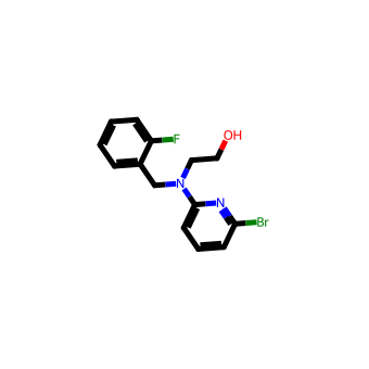 OCCN(Cc1ccccc1F)c1cccc(Br)n1